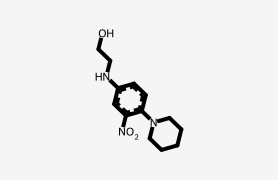 O=[N+]([O-])c1cc(NCCO)ccc1N1CCCCC1